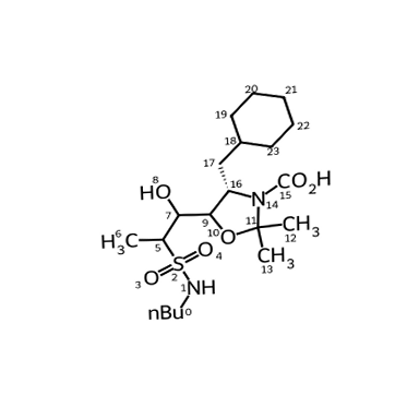 CCCCNS(=O)(=O)C(C)C(O)C1OC(C)(C)N(C(=O)O)[C@H]1CC1CCCCC1